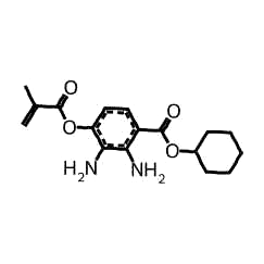 C=C(C)C(=O)Oc1ccc(C(=O)OC2CCCCC2)c(N)c1N